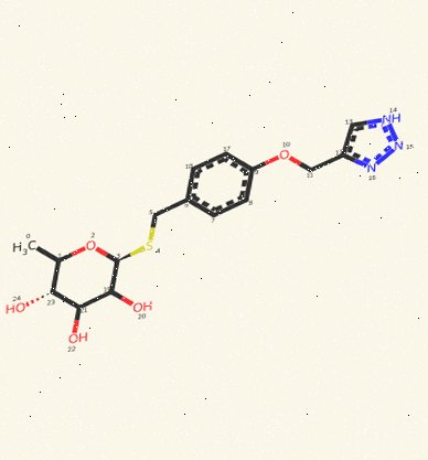 CC1O[C@@H](SCc2ccc(OCc3c[nH]nn3)cc2)C(O)C(O)[C@@H]1O